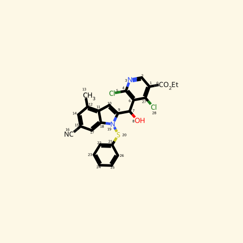 CCOC(=O)c1cnc(Cl)c(C(O)c2cc3c(C)cc(C#N)cc3n2Sc2ccccc2)c1Cl